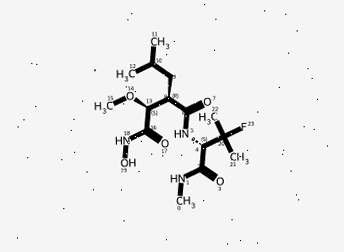 CNC(=O)[C@H](NC(=O)[C@H](CC(C)C)[C@H](OC)C(=O)NO)C(C)(C)F